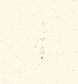 Cc1cc(N2CCC(N3CCCC3)CC2)nc2ccc(NC(=O)C=Cc3ccc(OC(F)(F)F)cc3)cc12